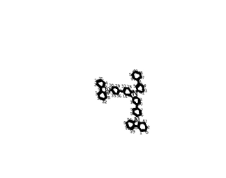 C1=Cc2c(n(-c3ccc(-c4ccc5c(c4)c4cc(-c6ccc(-n7c8ccccc8c8ccccc87)cc6)ccc4n5-c4cccc(-c5ccccc5)c4)cc3)c3ccccc23)CC1